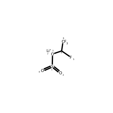 O=[S-](=O)OC(F)C(F)(F)F.[Li+]